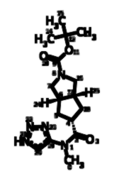 CN(C(=O)[C@@H]1C[C@@H]2CN(C(=O)OC(C)(C)C)C[C@@H]2C1)c1c[nH]nn1